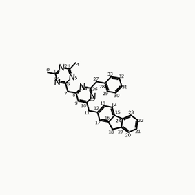 Cc1nc(C)nc(Cc2cc(Cc3ccc4c(c3)Cc3ccccc3-4)nc(Cc3ccccc3)n2)n1